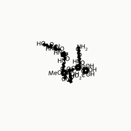 C=C1C[C@H]2C(O)N(C(=O)COc3ccc(O[C@@H]4O[C@H](C(=O)O)[C@@H](O)[C@H](O)[C@H]4O)c(C(=O)NCCOCCON)c3)c3cc(OCCCNC(=O)c4cc(NC(=O)c5cc(NC(=O)CCCO)cn5C)cn4C)c(OC)cc3C(=O)N2C1